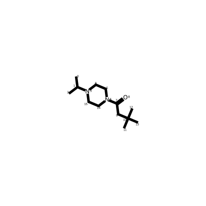 CC(C)N1CCN(C(=O)CC(C)(C)C)CC1